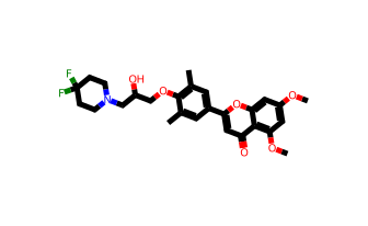 COc1cc(OC)c2c(=O)cc(-c3cc(C)c(OCC(O)CN4CCC(F)(F)CC4)c(C)c3)oc2c1